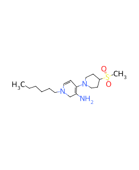 CCCCCCN1C=CC(N2CCC(S(C)(=O)=O)CC2)=C(N)C1